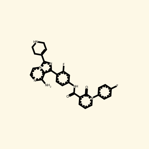 Nc1nccn2c(C3=CCNCC3)nc(-c3ccc(NC(=O)c4cccn(-c5ccc(F)cc5)c4=O)cc3F)c12